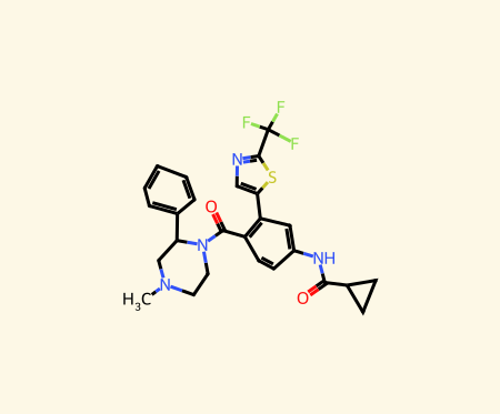 CN1CCN(C(=O)c2ccc(NC(=O)C3CC3)cc2-c2cnc(C(F)(F)F)s2)C(c2ccccc2)C1